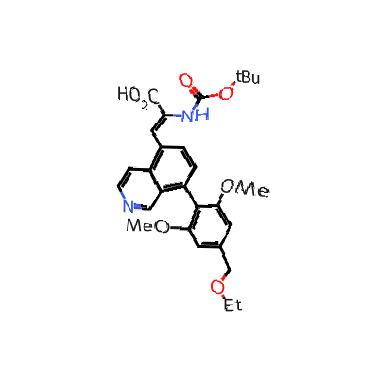 CCOCc1cc(OC)c(-c2ccc(/C=C(\NC(=O)OC(C)(C)C)C(=O)O)c3ccncc23)c(OC)c1